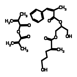 C=C(C)C(=O)OC(=O)C(=C)C.C=C(CCCO)C(=O)OCC(CO)OC(=O)C(C)=Cc1ccccc1